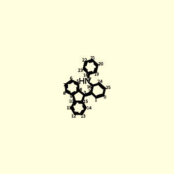 C1=CC(=C2c3ccccc3-c3ccccc32)C(Nc2ccccc2)C=C1